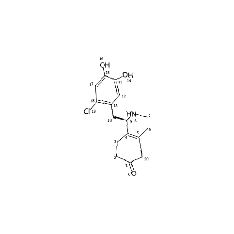 O=C1CCC2=C(CCN[C@@H]2Cc2cc(O)c(O)cc2Cl)C1